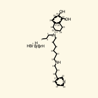 Br.Br.Br.CCCN(CCCCCCNCCCc1cccnc1)[C@H]1CCc2c(ccc(O)c2O)C1